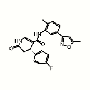 Cc1cc(-c2ccc(C)c(NC(=O)C3=CNC(=O)C[C@H]3c3ccc(F)cc3)c2)no1